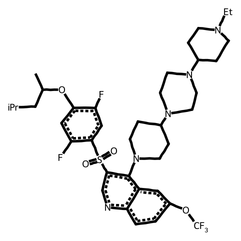 CCN1CCC(N2CCN(C3CCN(c4c(S(=O)(=O)c5cc(F)c(OC(C)CC(C)C)cc5F)cnc5ccc(OC(F)(F)F)cc45)CC3)CC2)CC1